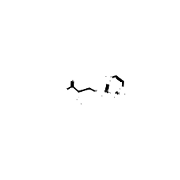 N[C@@H](CNc1nccnn1)C(=O)O